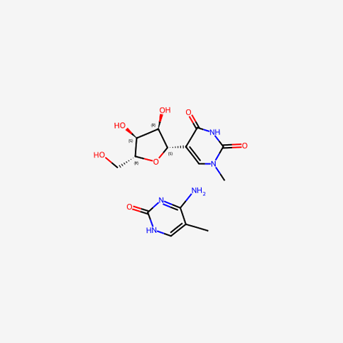 Cc1c[nH]c(=O)nc1N.Cn1cc([C@@H]2O[C@H](CO)[C@@H](O)[C@H]2O)c(=O)[nH]c1=O